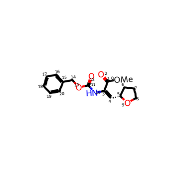 COC(=O)/C(=C\[C@@H]1CCCO1)NC(=O)OCc1ccccc1